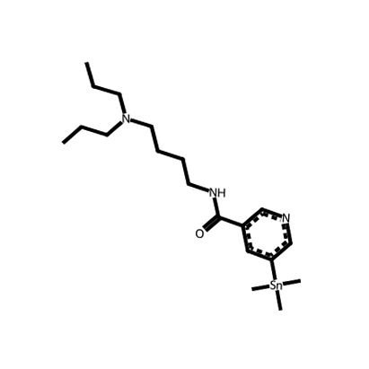 CCCN(CCC)CCCCNC(=O)c1cnc[c]([Sn]([CH3])([CH3])[CH3])c1